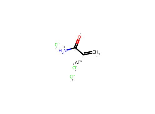 C=CC(N)=O.[Al+3].[Cl-].[Cl-].[Cl-]